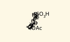 CC(=O)OC12CC3CC(C1)CC(C(=O)OCCC(F)(F)C(F)(F)S(=O)(=O)O)(C3)C2